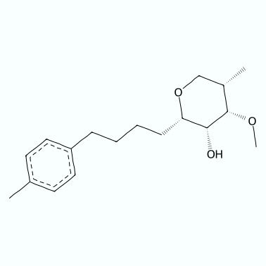 CO[C@@H]1[C@H](O)[C@H](CCCCc2ccc(C)cc2)OC[C@@H]1C